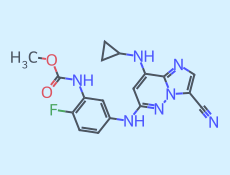 COC(=O)Nc1cc(Nc2cc(NC3CC3)c3ncc(C#N)n3n2)ccc1F